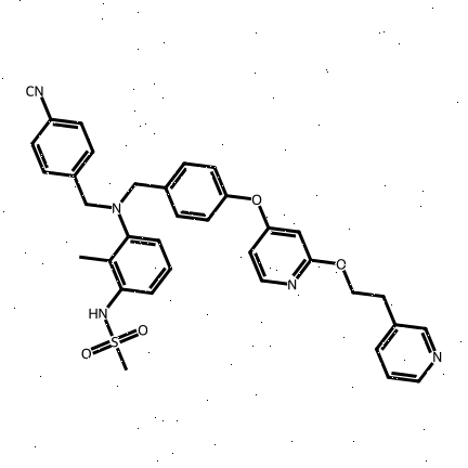 [C-]#[N+]c1ccc(CN(Cc2ccc(Oc3ccnc(OCCc4cccnc4)c3)cc2)c2cccc(NS(C)(=O)=O)c2C)cc1